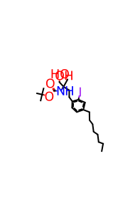 CCCCCCCCc1ccc(CCC(CO)(CO)NC(=O)OC(C)(C)C)c(I)c1